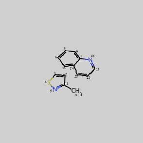 Cc1ccsn1.c1ccc2ncccc2c1